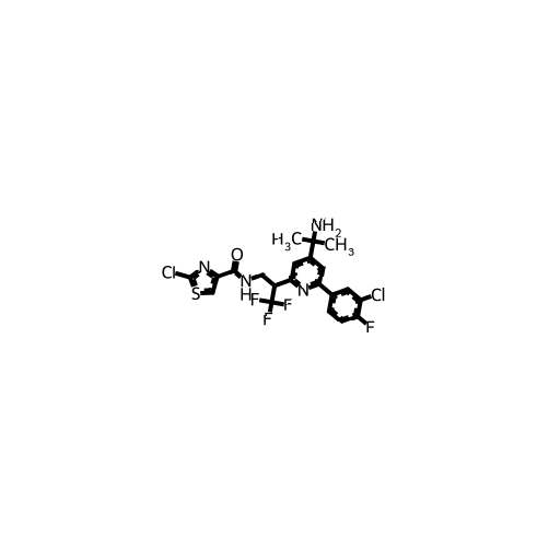 CC(C)(N)c1cc(-c2ccc(F)c(Cl)c2)nc(C(CNC(=O)c2csc(Cl)n2)C(F)(F)F)c1